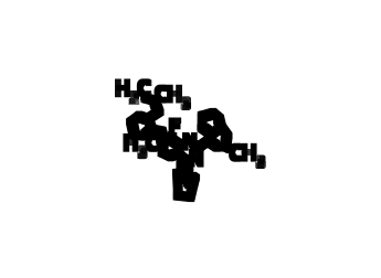 C=C/C(C)=C\c1ccccc1CC1(C)CC=c2c(N3CC4CCC(C3)N4)nc(-c3cc(C)cc4ccccc34)nc2=C1F